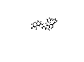 C#Cc1cccc([C@@H](CN2CCC(O)C2)N(C)C(=O)Cc2ccc3ncc(=O)[nH]c3c2)c1